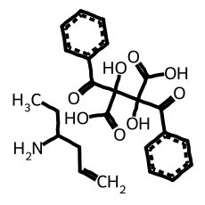 C=CCC(N)CC.O=C(O)C(O)(C(=O)c1ccccc1)C(O)(C(=O)O)C(=O)c1ccccc1